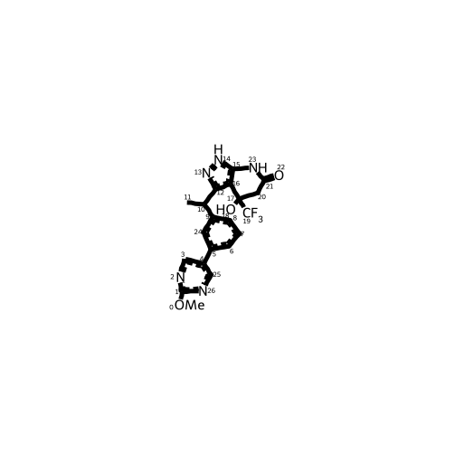 COc1ncc(-c2cccc(C(C)c3n[nH]c4c3C(O)(C(F)(F)F)CC(=O)N4)c2)cn1